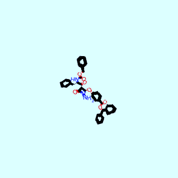 NN1C(=O)[C@H](C(=O)[C@H](Cc2ccccc2)NC(=O)OCc2ccccc2)[C@@H]1Oc1ccc(C(=O)OC(c2ccccc2)c2ccccc2)cc1